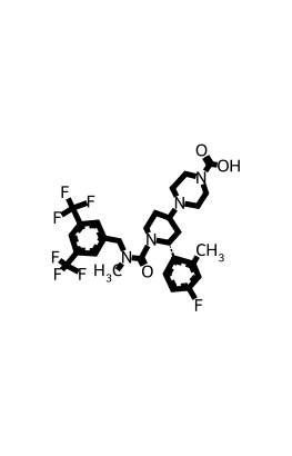 Cc1cc(F)ccc1[C@H]1CC(N2CCN(C(=O)O)CC2)CCN1C(=O)N(C)Cc1cc(C(F)(F)F)cc(C(F)(F)F)c1